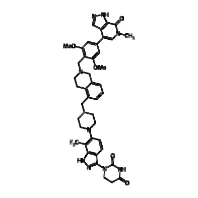 COc1cc(-c2cn(C)c(=O)c3[nH]ncc23)cc(OC)c1CN1CCc2c(CC3CCN(c4ccc5c(N6CCC(=O)NC6=O)n[nH]c5c4C(F)(F)F)CC3)cccc2C1